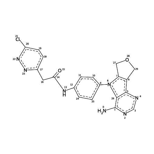 Nc1ncnc2c3c(n(-c4ccc(NC(=O)Cc5ccc(Cl)nn5)cc4)c12)COC3